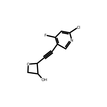 OC1COC1C#Cc1cnc(Cl)cc1F